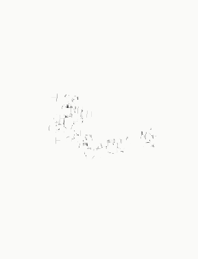 COc1c(NC(=O)c2cc3cccc(Oc4ccnc(OCCn5ccnc5)n4)c3n2C)cc(C(C)(C)C)cc1NS(C)(=O)=O